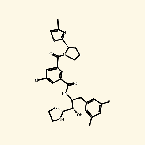 Cc1csc([C@H]2CCCN2C(=O)c2cc(Cl)cc(C(=O)N[C@@H](Cc3cc(F)cc(F)c3)[C@@H](O)[C@H]3CCCN3)c2)n1